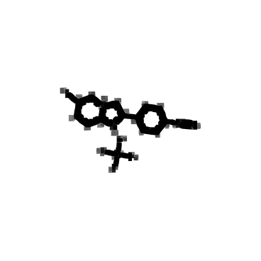 F[B-](F)(F)F.N#[N+]c1ccc(-c2cn3cc(I)ccc3n2)cc1